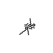 CCCCCCCCc1cc(N=C(C)C(CC)=Nc2cc(CCCC)c(-c3ccccc3)c(CCCCCC)c2)cc(CCCC)c1CCCCCC